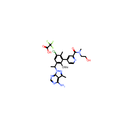 COc1c(C(C)n2nc(C)c3c(N)ncnc32)cc(Cl)c(C)c1-c1ccnc(C(=O)N(C)CCO)c1.O=C(O)C(F)(F)F